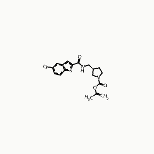 C=C(C)OC(=O)N1CC[C@H](CNC(=O)c2cc3cc(Cl)ccc3s2)C1